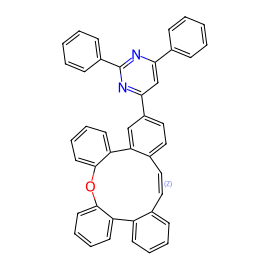 C1=C\c2ccc(-c3cc(-c4ccccc4)nc(-c4ccccc4)n3)cc2-c2ccccc2Oc2ccccc2-c2ccccc2/1